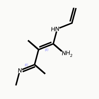 C=CN/C(N)=C(C)/C(C)=N/C